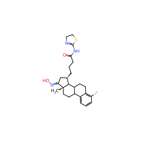 C[C@]12CCC3c4cccc(F)c4CCC3C1[C@H](CCCC(=O)NC1=NCCS1)C/C2=N\O